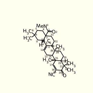 CNC(=O)C12CCC(C)(C)C[C@H]1C1=CCC3[C@@]4(C)C=C(C#N)C(=O)C(C)(C)[C@@H]4CC[C@@]3(C)[C@]1(C)CC2